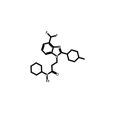 CCN(C(=O)CCn1c(C2CCC(C)CC2)nc2c(C(F)F)cccc21)C1CCCCC1